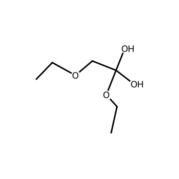 CCOCC(O)(O)OCC